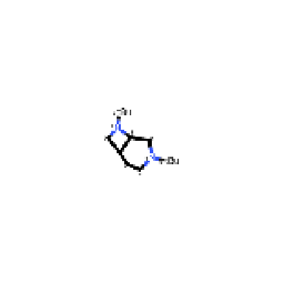 CC(C)(C)N1CCC2CN(C(C)(C)C)C2C1